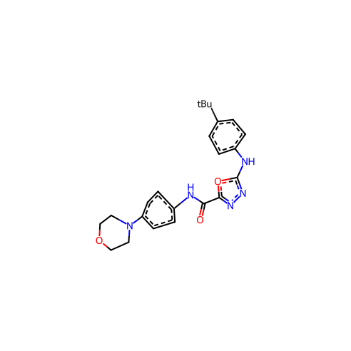 CC(C)(C)c1ccc(Nc2nnc(C(=O)Nc3ccc(N4CCOCC4)cc3)o2)cc1